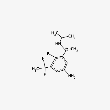 CC(C)N[C@H](C)c1cc(N)cc(C(C)(F)F)c1F